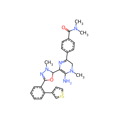 CN(C)C(=O)c1ccc(C2=NC(C3OC(c4ccccc4-c4ccsc4)=NN3C)=C(N)N(C)C2)cc1